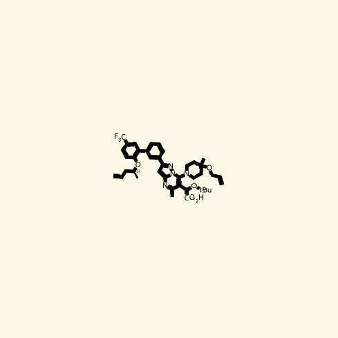 C=CCOC1(C)CCN(c2c(C(OC(C)(C)C)C(=O)O)c(C)nc3cc(-c4cccc(-c5cc(C(F)(F)F)ccc5O[C@@H](C)CC=C)c4)nn23)CC1